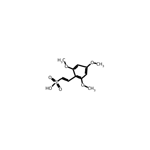 COc1cc(OC)c(C=CS(=O)(=O)O)c(OC)c1